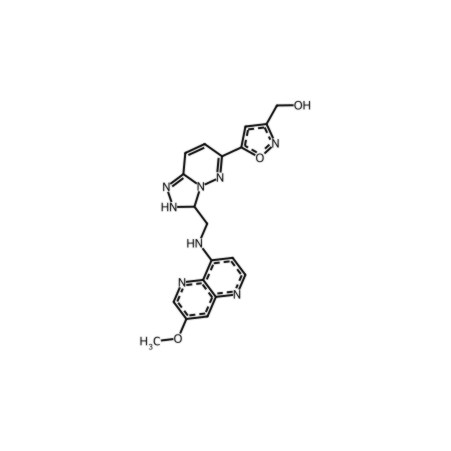 COc1cnc2c(NCC3NN=C4C=CC(c5cc(CO)no5)=NN43)ccnc2c1